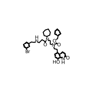 O=C(OCc1ccccc1)N(CCc1ccc(O)c2[nH]c(=O)ccc12)CCN(C(=O)CCNCCc1cccc(Br)c1)C1CCCCCC1